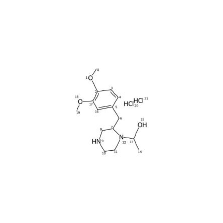 COc1ccc(CC2CNCCN2C(C)O)cc1OC.Cl.Cl